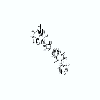 c1ncc(-c2ccc3nc([C@H]4C[C@@H](N5C[C@H]6CCN[C@H]6C5)C4)sc3c2)cn1